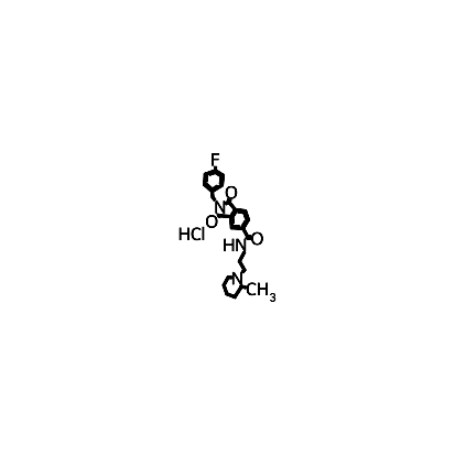 CC1CCCCN1CCCNC(=O)c1ccc2c(c1)C(=O)N(Cc1ccc(F)cc1)C2=O.Cl